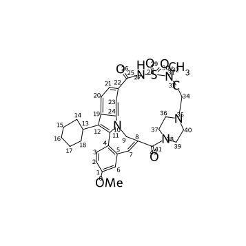 COc1ccc2c(c1)C=C1Cn3c-2c(C2CCCCC2)c2ccc(cc23)C(=O)NS(=O)(=O)N(C)CCN2CCN(CC2)C1=O